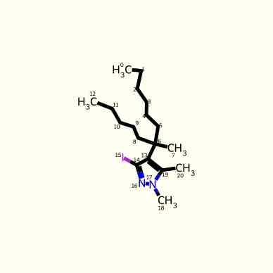 CCCCCCC(C)(CCCCC)c1c(I)nn(C)c1C